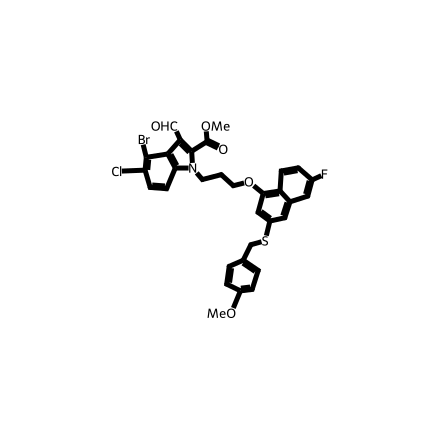 COC(=O)c1c(C=O)c2c(Br)c(Cl)ccc2n1CCCOc1cc(SCc2ccc(OC)cc2)cc2cc(F)ccc12